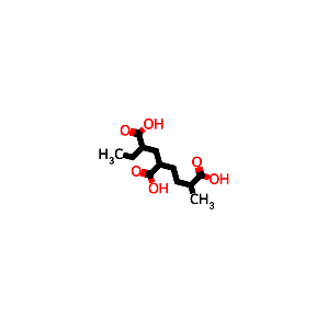 CCC(CC(CCC(C)C(=O)O)C(=O)O)C(=O)O